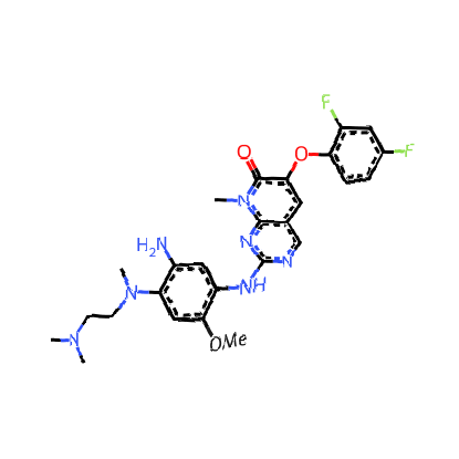 COc1cc(N(C)CCN(C)C)c(N)cc1Nc1ncc2cc(Oc3ccc(F)cc3F)c(=O)n(C)c2n1